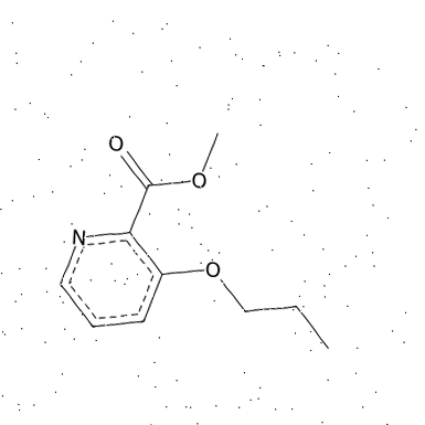 CCCOc1cccnc1C(=O)OC